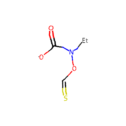 CCN(OC=S)C([O])=O